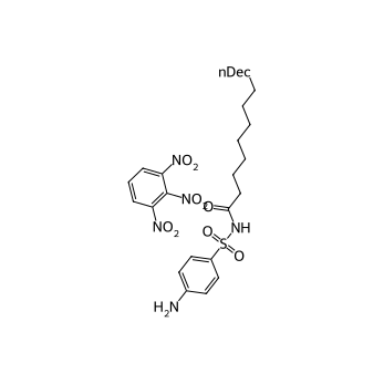 CCCCCCCCCCCCCCCCCC(=O)NS(=O)(=O)c1ccc(N)cc1.O=[N+]([O-])c1cccc([N+](=O)[O-])c1[N+](=O)[O-]